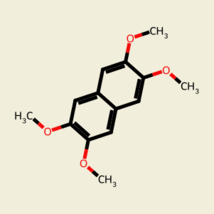 COc1cc2cc(OC)c(OC)cc2cc1OC